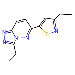 CCc1cc(-c2ccc3nnc(CC)n3n2)sn1